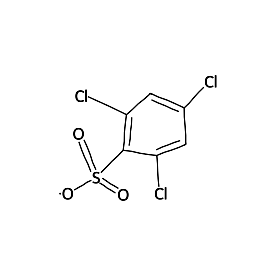 [O]S(=O)(=O)c1c(Cl)cc(Cl)cc1Cl